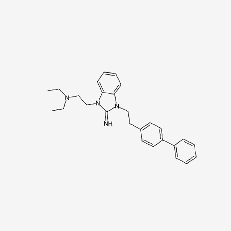 CCN(CC)CCn1c(=N)n(CCc2ccc(-c3ccccc3)cc2)c2ccccc21